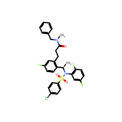 C[C@H](c1ccc(F)cc1CCC(=O)N(C)Cc1ccccc1)N(c1cc(F)ccc1F)S(=O)(=O)c1ccc(Cl)cc1